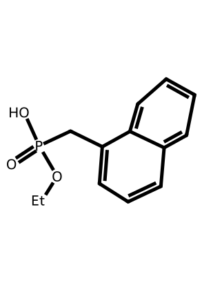 CCOP(=O)(O)Cc1cccc2ccccc12